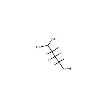 CC(=O)OC(C)C(F)(F)C(F)(F)C(F)(F)CF